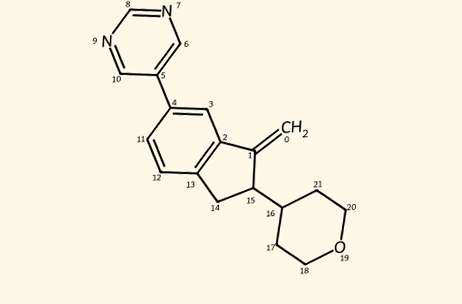 C=C1c2cc(-c3cncnc3)ccc2CC1C1CCOCC1